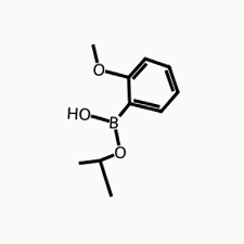 COc1ccccc1B(O)OC(C)C